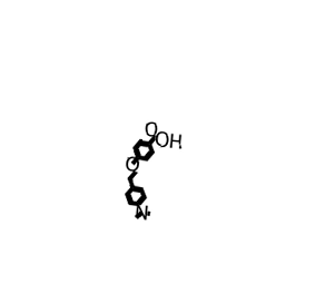 CN(C)c1ccc(CCOc2ccc(C(=O)O)cc2)cc1